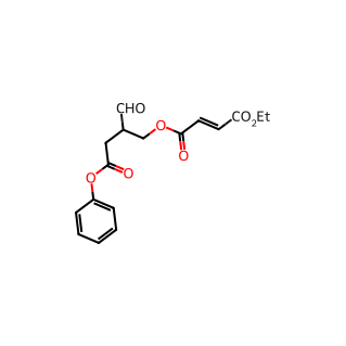 CCOC(=O)C=CC(=O)OCC(C=O)CC(=O)Oc1ccccc1